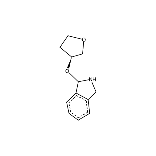 c1ccc2c(c1)CNC2O[C@H]1CCOC1